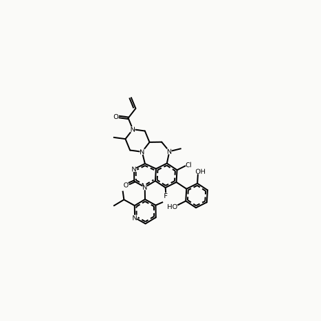 C=CC(=O)N1CC2CN(C)c3c(Cl)c(-c4c(O)cccc4O)c(F)c4c3c(nc(=O)n4-c3c(C)ccnc3C(C)C)N2CC1C